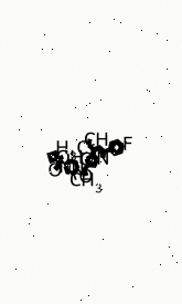 CC(C)c1cc(-c2ccc(F)cc2)nc2cc(C(=O)N3CCN(C(=O)C4(O)CCC4)C[C@@H]3C)oc12